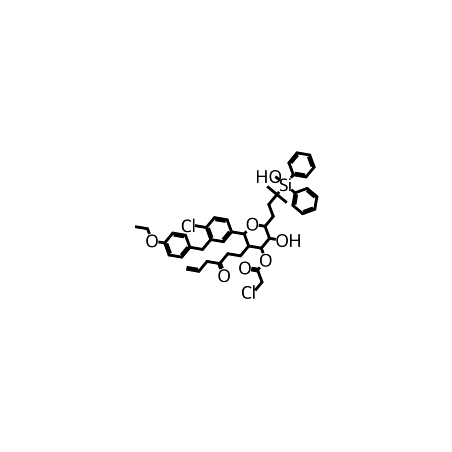 C=CCC(=O)CCC1C(c2ccc(Cl)c(Cc3ccc(OCC)cc3)c2)OC(CCC(C)(C)[Si](O)(c2ccccc2)c2ccccc2)C(O)C1OC(=O)CCl